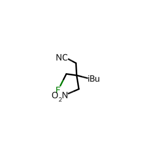 CCC(C)C(CF)(CC#N)C[N+](=O)[O-]